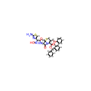 Nc1nc(C(=NO)C(=O)NC2C(=O)N3C(C(=O)OC(c4ccccc4)c4ccccc4)=C(COc4ccccc4)CS[C@@H]23)cs1